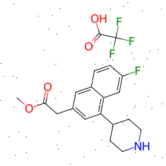 COC(=O)Cc1cc(C2CCNCC2)c2cc(F)ccc2c1.O=C(O)C(F)(F)F